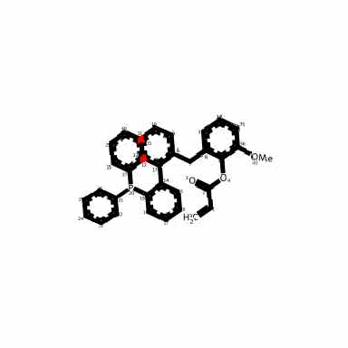 C=CC(=O)Oc1c(Cc2ccccc2-c2ccccc2P(c2ccccc2)c2ccccc2)cccc1OC